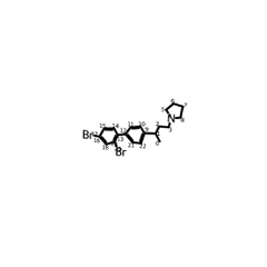 CC(CCN1CCCC1)c1ccc(-c2ccc(Br)cc2Br)cc1